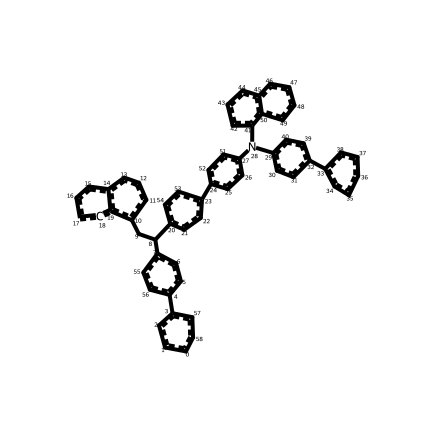 c1ccc(-c2ccc(C(Cc3cccc4ccccc34)c3ccc(-c4ccc(N(c5ccc(-c6ccccc6)cc5)c5cccc6ccccc56)cc4)cc3)cc2)cc1